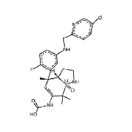 CC1(C)C(NC(=O)O)=N[C@](C)(c2cc(NCc3ccc(Cl)cn3)ccc2F)[C@@H]2CCN[SH]21=O